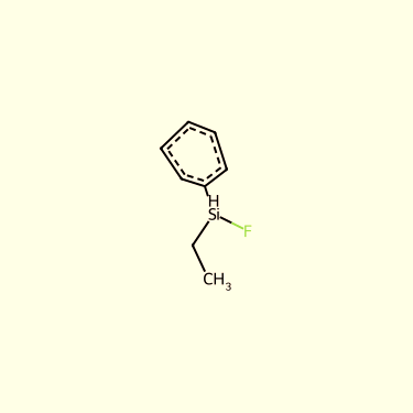 CC[SiH](F)c1ccccc1